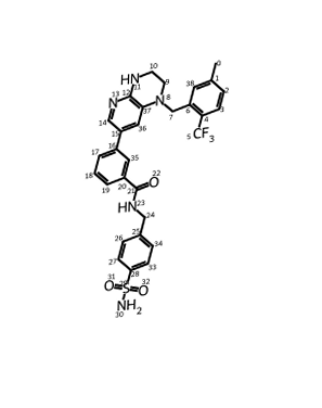 Cc1ccc(C(F)(F)F)c(CN2CCNc3ncc(-c4cccc(C(=O)NCc5ccc(S(N)(=O)=O)cc5)c4)cc32)c1